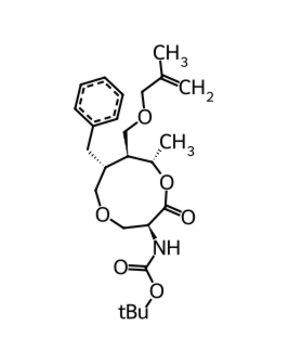 C=C(C)COC[C@@H]1[C@@H](Cc2ccccc2)COC[C@H](NC(=O)OC(C)(C)C)C(=O)O[C@H]1C